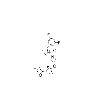 NC(=O)c1cnc(OC2CN(C(=O)N3N=CCC3c3cc(F)cc(F)c3)C2)s1